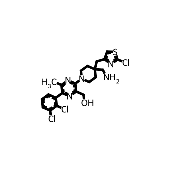 Cc1nc(N2CCC(CN)(Cc3csc(Cl)n3)CC2)c(CO)nc1-c1cccc(Cl)c1Cl